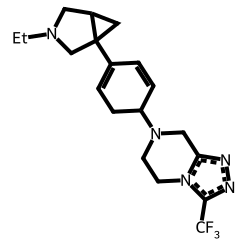 CCN1CC2CC2(C2=CCC(N3CCn4c(nnc4C(F)(F)F)C3)C=C2)C1